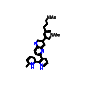 C=C(/C=C(\CNC)C1C=c2nc(C3=C(C4CC=CC(C)N4)NC=CC3)ccc2=NC1)CCCNC